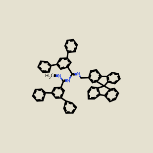 C=N/C(=N\C(=N/Cc1ccc2c(c1)C1(c3ccccc3-c3ccccc31)c1ccccc1-2)c1cc(-c2ccccc2)cc(-c2ccccc2)c1)c1cc(-c2ccccc2)cc(-c2ccccc2)c1